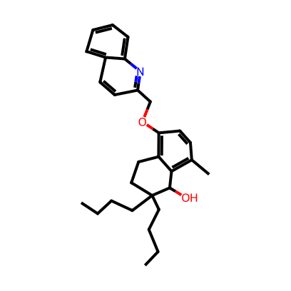 CCCCC1(CCCC)CCc2c(OCc3ccc4ccccc4n3)ccc(C)c2C1O